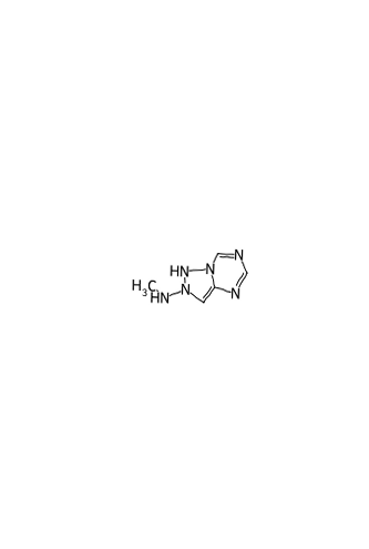 CNN1C=C2N=CN=CN2N1